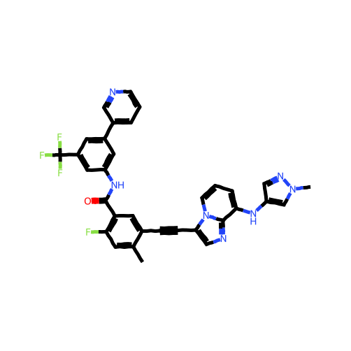 Cc1cc(F)c(C(=O)Nc2cc(-c3cccnc3)cc(C(F)(F)F)c2)cc1C#Cc1cnc2c(Nc3cnn(C)c3)cccn12